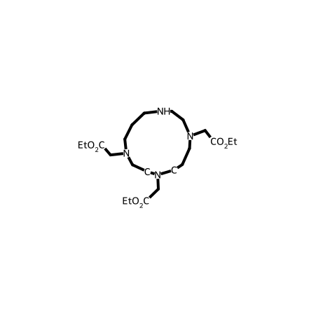 CCOC(=O)CN1CCCN(CC(=O)OCC)CCN(CC(=O)OCC)CCCNCC1